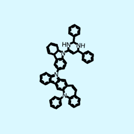 C1=CC2c3cc(-n4c5ccccc5c5cc6c(cc54)C=Cc4ccccc4N6c4ccccc4)ccc3N(C3=CC(c4ccccc4)NC(c4ccccc4)N3)C2C=C1